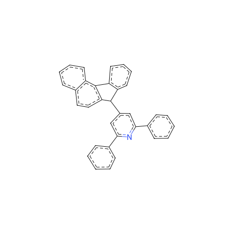 c1ccc(-c2cc(C3c4ccccc4-c4c3ccc3ccccc43)cc(-c3ccccc3)n2)cc1